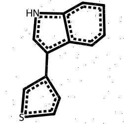 c1ccc2c(-c3ccsc3)c[nH]c2c1